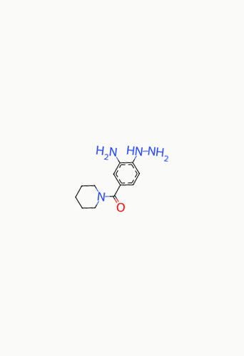 NNc1ccc(C(=O)N2CCCCC2)cc1N